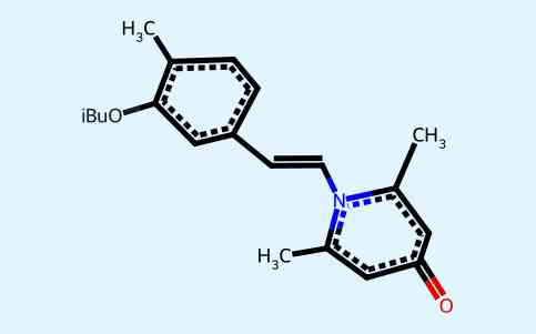 Cc1ccc(/C=C/n2c(C)cc(=O)cc2C)cc1OCC(C)C